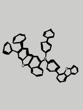 c1ccc(-c2ccc(N(c3ccc(-c4cccc5c4oc4ccccc45)cc3)c3cc4c5cc(-c6ccccc6)c(-c6ccccc6)cc5oc4c4ccccc34)cc2)cc1